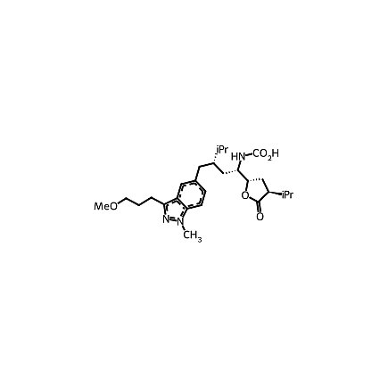 COCCCc1nn(C)c2ccc(C[C@@H](C[C@H](NC(=O)O)[C@@H]3C[C@@H](C(C)C)C(=O)O3)C(C)C)cc12